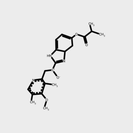 COc1c(C)cnc(C[S+]([O-])C2=NC3CC(OC(=O)C(C)C)=CC=C3N2)c1C